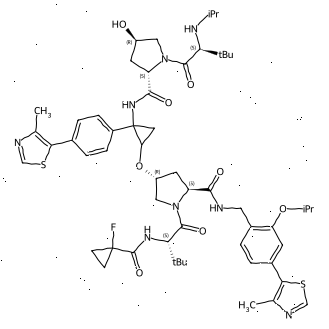 Cc1ncsc1-c1ccc(C2(NC(=O)[C@@H]3C[C@@H](O)CN3C(=O)[C@@H](NC(C)C)C(C)(C)C)CC2O[C@@H]2C[C@@H](C(=O)NCc3ccc(-c4scnc4C)cc3OC(C)C)N(C(=O)[C@@H](NC(=O)C3(F)CC3)C(C)(C)C)C2)cc1